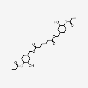 C=CC(=O)OC1CCC(COC(=O)CCCCC(=O)OCC2CCC(OC(=O)CC)C(O)C2)CC1O